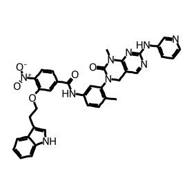 Cc1ccc(NC(=O)c2ccc([N+](=O)[O-])c(OCCc3c[nH]c4ccccc34)c2)cc1N1Cc2cnc(Nc3cccnc3)nc2N(C)C1=O